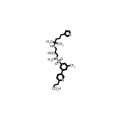 CN(C[C@H](O)CNC(C)(C)CCCc1ccsc1)S(=O)(=O)c1cc(-c2ccc(CCC(=O)O)nc2)cc(C(F)(F)F)c1